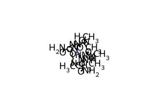 CCc1nc(C)oc1C(=O)Nc1nc2cc(C(N)=O)cc(OCCCN(C)CC)c2n1C/C=C/Cn1c(NC(=O)c2cc(C)nn2CC)nc2cc(C(N)=O)ccc21